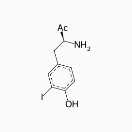 CC(=O)[C@@H](N)Cc1ccc(O)c(I)c1